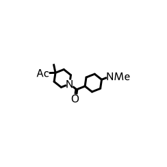 CNC1CCC(C(=O)N2CCC(C)(C(C)=O)CC2)CC1